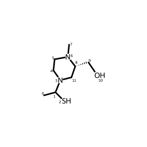 CC(S)N1CCN(C)[C@H](CO)C1